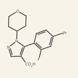 CC(C)c1ccc(-c2c(C(=O)O)cnn2C2CCOCC2)c(F)c1